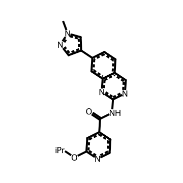 CC(C)Oc1cc(C(=O)Nc2ncc3ccc(-c4cnn(C)c4)cc3n2)ccn1